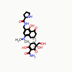 CN(C)c1cc(CNC(=O)C2CCCN2)c(O)c2c1C[C@@H](C[C@H]1CC(O)=C(C(N)=O)C(=O)[C@@]1(O)CO)CC2=O